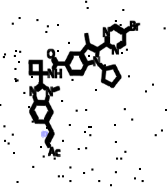 CC(=O)/C=C/c1ccc2nc(C3(NC(=O)c4ccc5c(c4)c(C)c(-c4ncc(Br)cn4)n5C4CCCC4)CCC3)n(C)c2c1